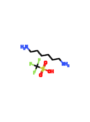 NCCCCCCN.O=S(=O)(O)C(F)(F)F